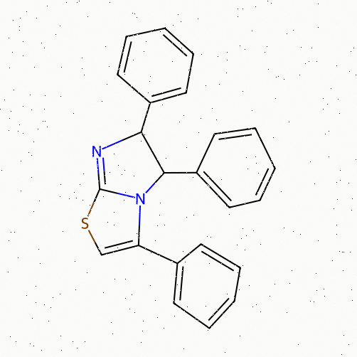 C1=C(c2ccccc2)N2C(=NC(c3ccccc3)C2c2ccccc2)S1